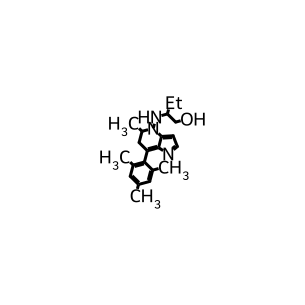 CCC(CO)NN1C2=CC=NC2=C(c2c(C)cc(C)cc2C)CC1C